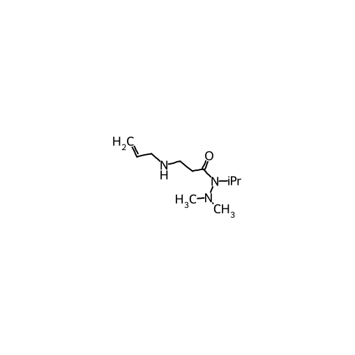 C=CCNCCC(=O)N(C(C)C)N(C)C